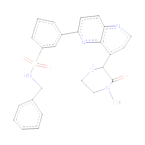 CN1CCNC(c2ccnc3ccc(-c4cccc(S(=O)(=O)NCc5ccccc5)c4)nc23)C1=O